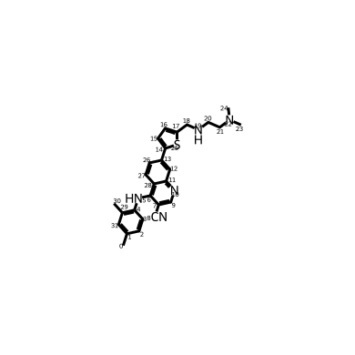 Cc1ccc(Nc2c(C#N)cnc3cc(-c4ccc(CNCCN(C)C)s4)ccc23)c(C)c1